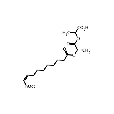 CCCCCCCC/C=C\CCCCCCCC(=O)O[C@@H](C)C(=O)O[C@@H](C)C(=O)O